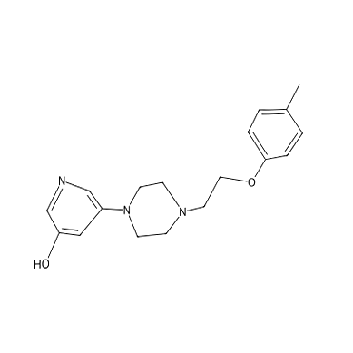 Cc1ccc(OCCN2CCN(c3cncc(O)c3)CC2)cc1